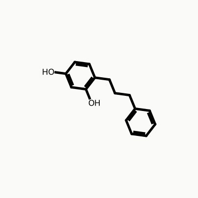 Oc1ccc(CCCc2ccccc2)c(O)c1